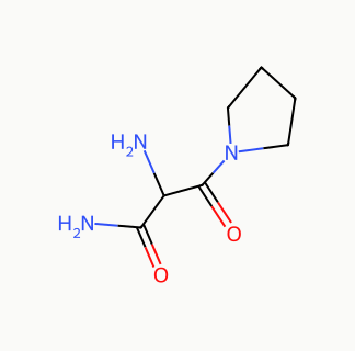 NC(=O)C(N)C(=O)N1CCCC1